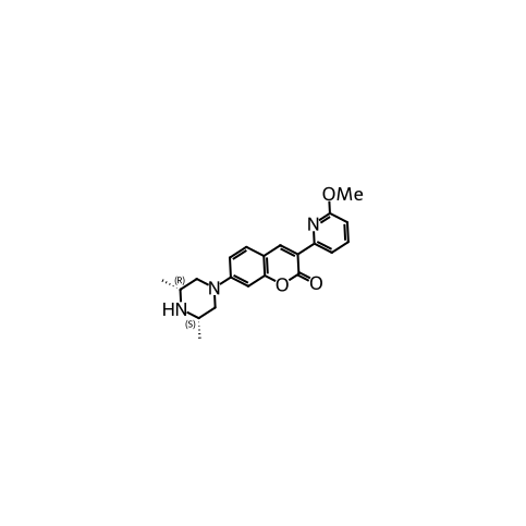 COc1cccc(-c2cc3ccc(N4C[C@@H](C)N[C@@H](C)C4)cc3oc2=O)n1